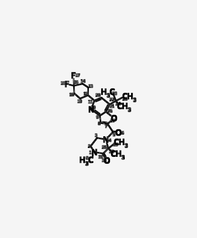 CN1CCN(C(=O)c2cc3nc(C4CCC(F)(F)CC4)cc(C(C)(C)C)c3o2)C(C)(C)C1=O